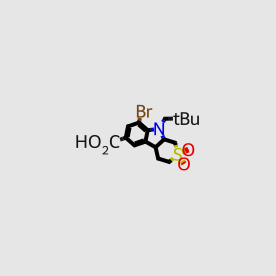 CC(C)(C)CN1c2c(Br)cc(C(=O)O)cc2C2CCS(=O)(=O)CC21